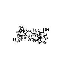 CCC1(CCCCCOC(=C(C)C(=O)O)C23CC4CC(CC(OCCCCCC5(CC)CCO5)(C4)C2)C3)CCO1